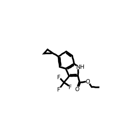 CCOC(=O)c1[nH]c2ccc(C3CC3)cc2c1C(F)(F)F